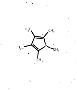 Cc1c(C)c(C)p(C)c1C